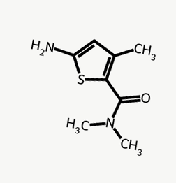 Cc1cc(N)sc1C(=O)N(C)C